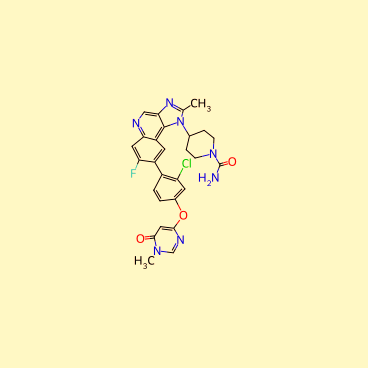 Cc1nc2cnc3cc(F)c(-c4ccc(Oc5cc(=O)n(C)cn5)cc4Cl)cc3c2n1C1CCN(C(N)=O)CC1